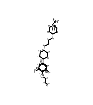 CCC[Si@H]1CC[C@H](CCCC[C@H]2CC[C@H](c3cc(F)c(OCCF)c(F)c3)CC2)CC1